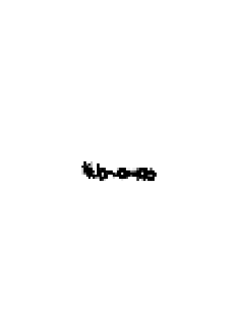 c1ccc2nc(COc3ccc(CCc4ccc(Cc5nnn[nH]5)cc4)cc3)ccc2c1